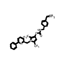 Cc1cc(OC(=O)NCc2ccc(CN)cc2)c(C)n1Cc1cccc(-c2ccccc2)n1